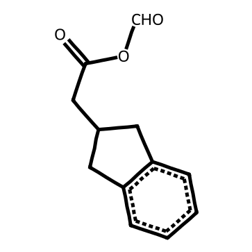 O=COC(=O)CC1Cc2ccccc2C1